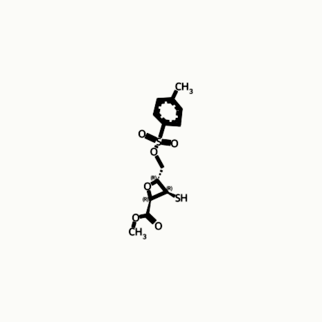 COC(=O)[C@H]1O[C@H](COS(=O)(=O)c2ccc(C)cc2)[C@H]1S